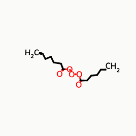 C=CCCCCC(=O)OOOC(=O)CCCCC=C